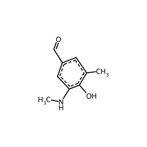 CNc1cc(C=O)cc(C)c1O